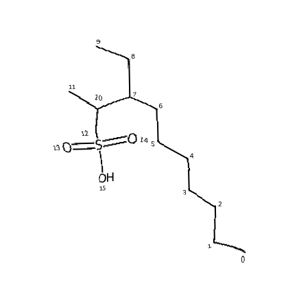 CCCCCCCC(CC)C(C)S(=O)(=O)O